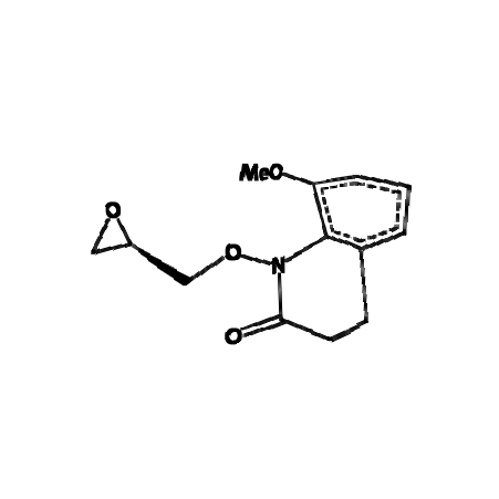 COc1cccc2c1N(OC[C@H]1CO1)C(=O)CC2